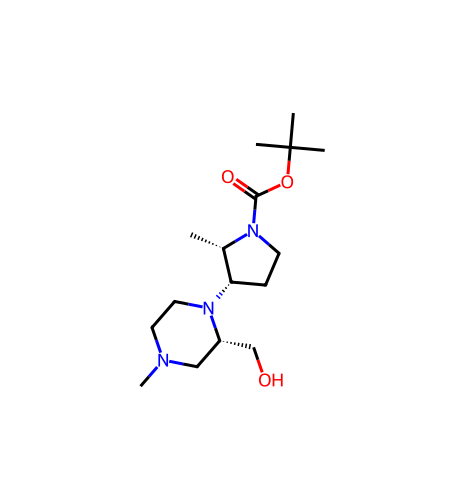 C[C@H]1[C@@H](N2CCN(C)C[C@H]2CO)CCN1C(=O)OC(C)(C)C